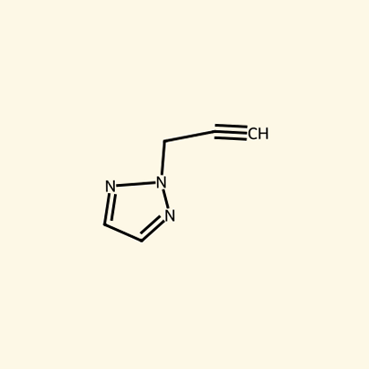 C#CCn1nccn1